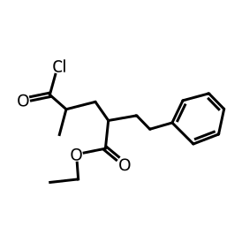 CCOC(=O)C(CCc1ccccc1)CC(C)C(=O)Cl